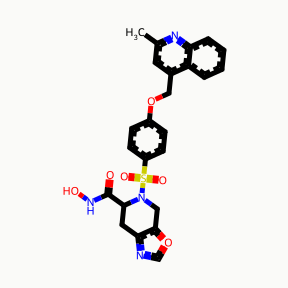 Cc1cc(COc2ccc(S(=O)(=O)N3Cc4ocnc4CC3C(=O)NO)cc2)c2ccccc2n1